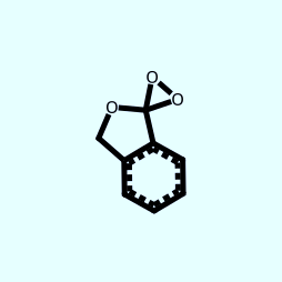 c1ccc2c(c1)COC21OO1